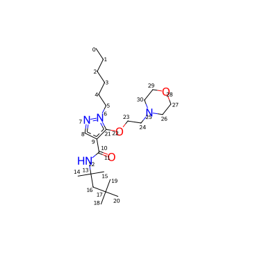 CCCCCCn1ncc(C(=O)NC(C)(C)CC(C)(C)C)c1OCCN1CCOCC1